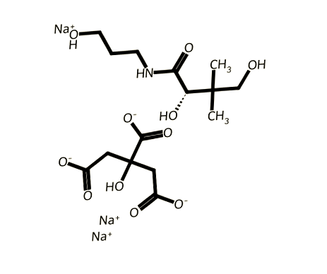 CC(C)(CO)[C@H](O)C(=O)NCCCO.O=C([O-])CC(O)(CC(=O)[O-])C(=O)[O-].[Na+].[Na+].[Na+]